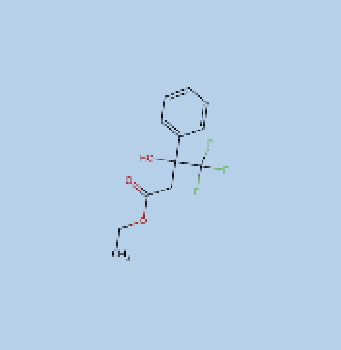 CCOC(=O)CC(O)(c1ccccc1)C(F)(F)F